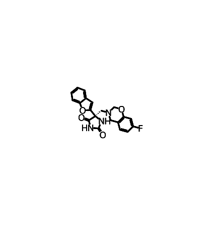 O=C1NC(=O)[C@@](CN2COc3cc(F)ccc3C2)(c2cc3ccccc3o2)N1